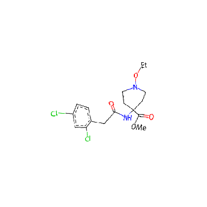 CCON1CCC(NC(=O)Cc2ccc(Cl)cc2Cl)(C(=O)OC)CC1